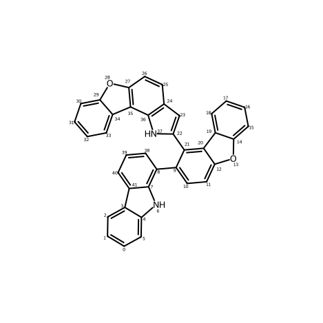 c1ccc2c(c1)[nH]c1c(-c3ccc4oc5ccccc5c4c3-c3cc4ccc5oc6ccccc6c5c4[nH]3)cccc12